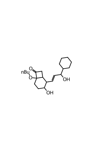 CCCCOC12CCC(O)C(C=CC(O)C3CCCCC3)C1CC2=O